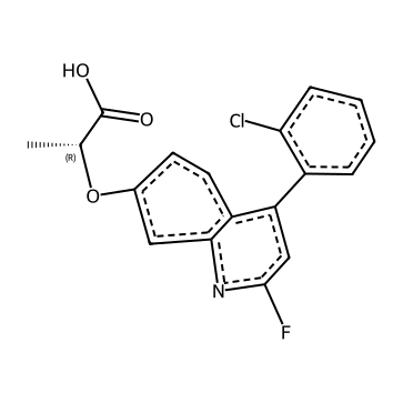 C[C@@H](Oc1ccc2c(-c3ccccc3Cl)cc(F)nc2c1)C(=O)O